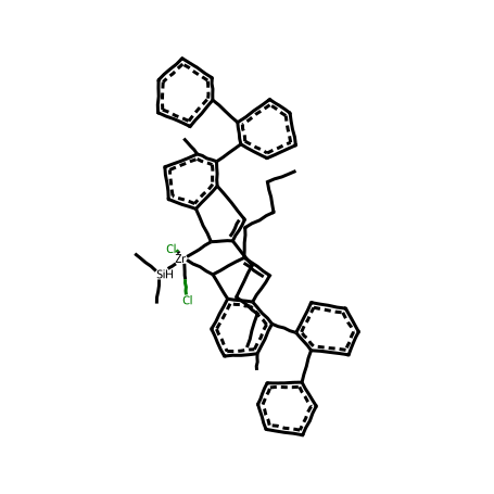 CCCCC1=Cc2c(ccc(C)c2-c2ccccc2-c2ccccc2)[CH]1[Zr]([Cl])([Cl])([CH]1C(CCCC)=Cc2c1ccc(C)c2-c1ccccc1-c1ccccc1)[SiH](C)C